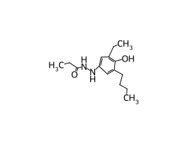 CCCCc1cc(NNC(=O)CC)cc(CC)c1O